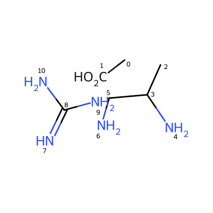 CC(=O)O.CC(N)CN.N=C(N)N